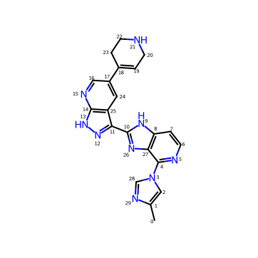 Cc1cn(-c2nccc3[nH]c(-c4n[nH]c5ncc(C6=CCNCC6)cc45)nc23)cn1